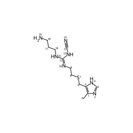 Cc1nc[nH]c1CSCC/N=C(\NC#N)NCCCN